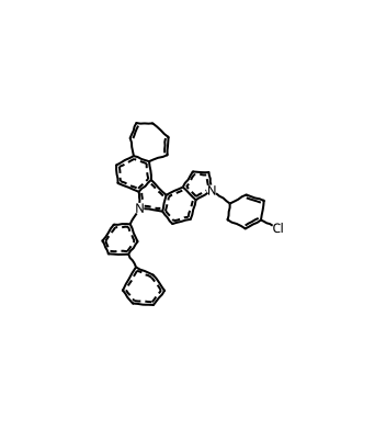 ClC1=CCC(n2ccc3c4c5c6c(ccc5n(-c5cccc(-c7ccccc7)c5)c4ccc32)C=CCC=C6)C=C1